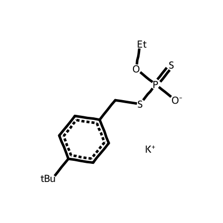 CCOP([O-])(=S)SCc1ccc(C(C)(C)C)cc1.[K+]